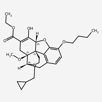 CCCCOc1ccc2c3c1O[C@H]1C(O)=C(C(=O)OCC)C[C@@]4(OC)[C@@H](C2)N(CC2CC2)CC[C@]314